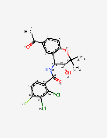 CC(=O)c1ccc2c(c1)[C@H](NC(=O)c1ccc(F)c(Cl)c1Cl)[C@@H](O)C(C)(C)O2